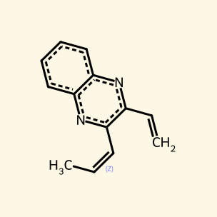 C=Cc1nc2ccccc2nc1/C=C\C